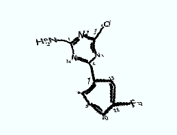 Nc1nc(Cl)nc(-c2cccc(F)c2)n1